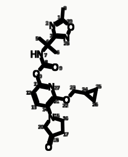 Cc1nc(C(C)(C)NC(=O)Oc2ccc(N3CCC(=O)C3)c(OCC3CC3)n2)no1